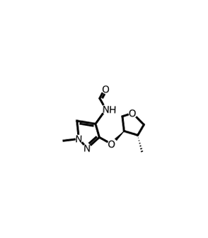 C[C@H]1COC[C@@H]1Oc1nn(C)cc1NC=O